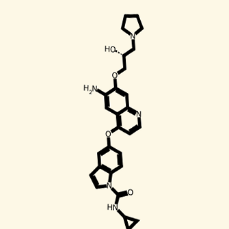 Nc1cc2c(Oc3ccc4c(ccn4C(=O)NC4CC4)c3)ccnc2cc1OC[C@H](O)CN1CCCC1